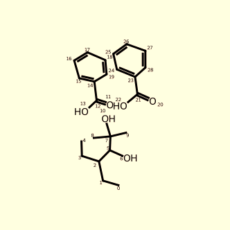 CCC(CC)C(O)C(C)(C)O.O=C(O)c1ccccc1.O=C(O)c1ccccc1